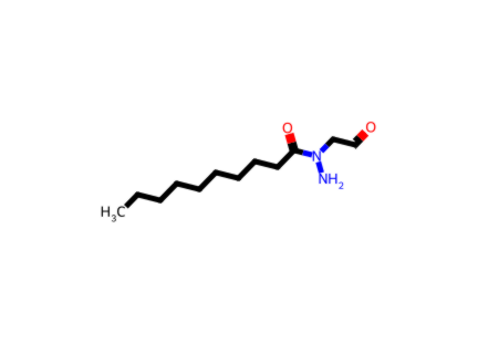 CCCCCCCCCC(=O)N(N)C[C]=O